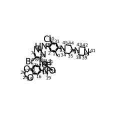 Cc1cc(Nc2ncc(Br)c(Nc3cc4c(cc3N(C)S(C)(=O)=O)OCCO4)n2)c(Cl)cc1N1CCC(N2CCN(C)CC2)CC1